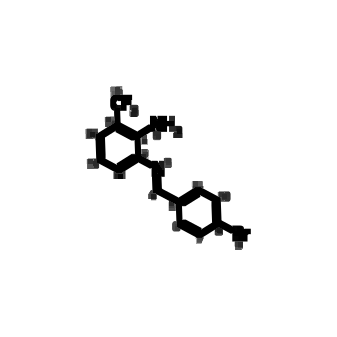 Nc1c(N=Cc2ccc(Br)cc2)cccc1C(F)(F)F